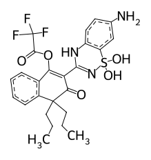 CCCC1(CCC)C(=O)C(C2=NS(O)(O)c3cc(N)ccc3N2)=C(OC(=O)C(F)(F)F)c2ccccc21